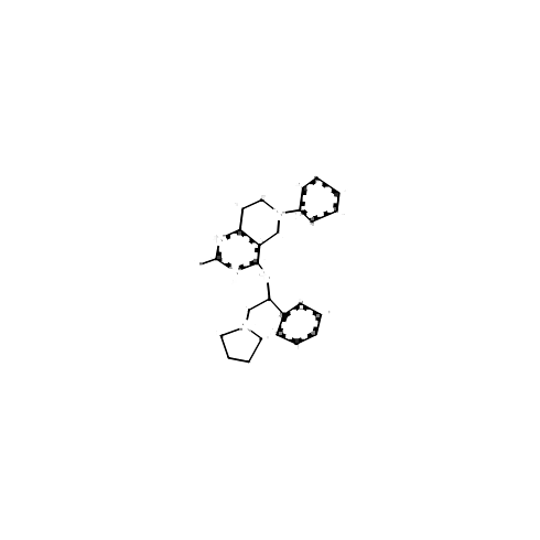 Clc1nc2c(c(NC(CN3CCCC3)c3ccccc3)n1)CN(c1ccccc1)CC2